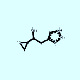 OC(Cc1c[nH]nn1)C1CO1